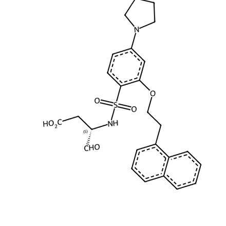 O=C[C@H](CC(=O)O)NS(=O)(=O)c1ccc(N2CCCC2)cc1OCCc1cccc2ccccc12